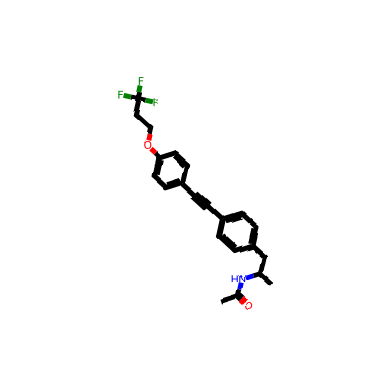 CC(=O)NC(C)Cc1ccc(C#Cc2ccc(OCCC(F)(F)F)cc2)cc1